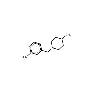 CC1CCN(Cc2ccnc(N)c2)CC1